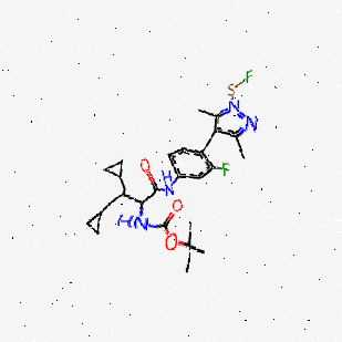 Cc1nn(SF)c(C)c1-c1ccc(NC(=O)C(NC(=O)OC(C)(C)C)C(C2CC2)C2CC2)cc1F